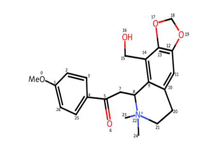 COc1ccc(C(=O)CC2c3c(cc4c(c3CO)OCO4)CC[N+]2(C)C)cc1